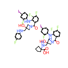 O=C(c1ccc(F)c(F)c1Nc1ccc(I)cc1F)N1CC(O)(CNC2(C(=O)O)CCCC2)C1.O=C(c1ccc(F)c(F)c1Nc1ccc(I)cc1F)N1CC(O)(CNc2ccc(F)cc2)C1